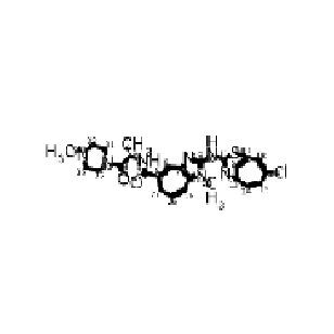 C[C@H](NC(=O)C1=Cc2nc(NC3=NC4C=CC(Cl)=CC(=C4)S3)n(C)c2C=CC1)C(=O)N1CCN(C)CC1